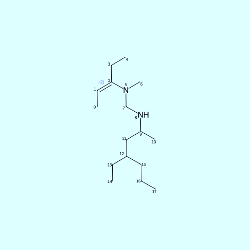 C/C=C(/CC)N(C)CNC(C)CC(CC)CCC